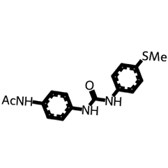 CSc1ccc(NC(=O)Nc2ccc(NC(C)=O)cc2)cc1